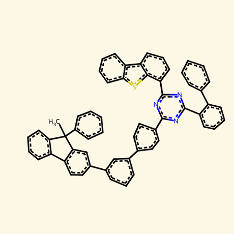 CC1(c2ccccc2)c2ccccc2-c2ccc(-c3cccc(-c4ccc(-c5nc(-c6ccccc6-c6ccccc6)nc(-c6cccc7c6sc6ccccc67)n5)cc4)c3)cc21